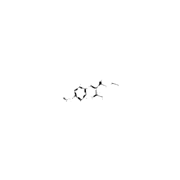 CCOC(=O)/C(=C/c1ccc(OC)cc1)C(C)=O